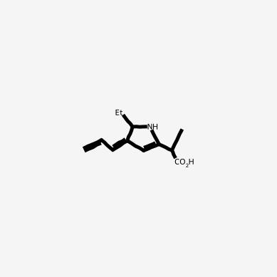 C=C/C=C1/C=C(C(C)C(=O)O)NC1CC